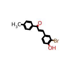 Cc1ccc(C(=O)/C=C/c2ccc(O)c(Br)c2)cc1